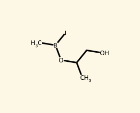 CB(I)OC(C)CO